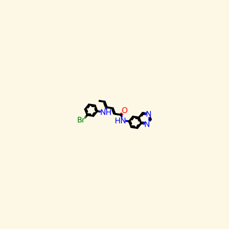 CC=C(C=CC(=O)Nc1ccc2ncncc2c1)Nc1cccc(Br)c1